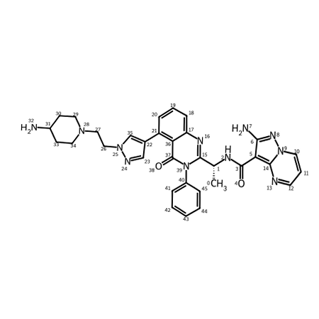 C[C@@H](NC(=O)c1c(N)nn2cccnc12)c1nc2cccc(-c3cnn(CCN4CCC(N)CC4)c3)c2c(=O)n1-c1ccccc1